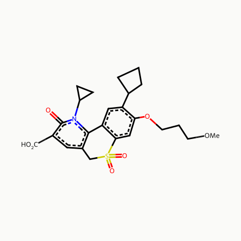 COCCCOc1cc2c(cc1C1CCC1)-c1c(cc(C(=O)O)c(=O)n1C1CC1)CS2(=O)=O